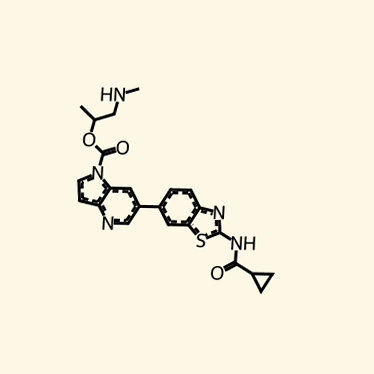 CNCC(C)OC(=O)n1ccc2ncc(-c3ccc4nc(NC(=O)C5CC5)sc4c3)cc21